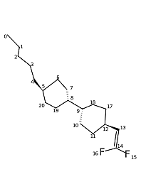 CCCCC[C@H]1CC[C@H]([C@H]2CC[C@H](C=C(F)F)CC2)CC1